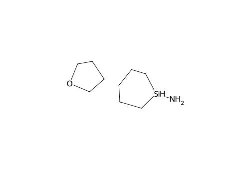 C1CCOC1.N[SiH]1CCCCC1